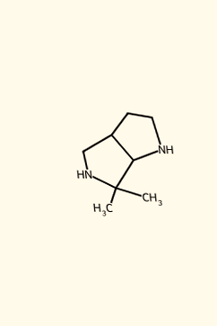 CC1(C)NCC2CCNC21